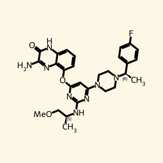 COC[C@H](C)Nc1nc(Oc2cccc3[nH]c(=O)c(N)nc23)cc(N2CCN([C@H](C)c3ccc(F)cc3)CC2)n1